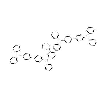 C1=CC(N(c2ccc(-c3ccc(N(c4ccccc4)c4ccccc4)cc3)cc2)c2cccc(C3(c4cccc(N(c5ccccc5)c5ccc(-c6ccc(N(c7ccccc7)c7ccccc7)cc6)cc5)c4)CCCCC3)c2)=CCC1